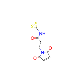 O=C(CCN1C(=O)C=CC1=O)NC1SS1